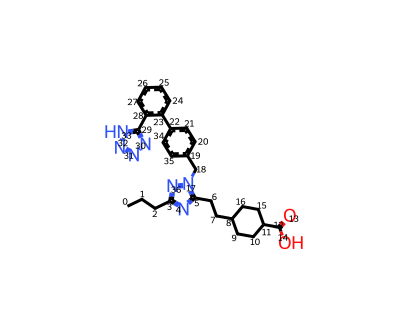 CCCc1nc(CCC2CCC(C(=O)O)CC2)n(Cc2ccc(-c3ccccc3-c3nnn[nH]3)cc2)n1